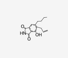 C=CCc1c(CCCC)cc2c(c1O)C(=O)NC2=O